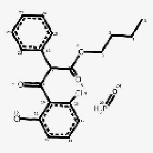 CCCCOC(=O)C(C(=O)c1c(Cl)cccc1Cl)c1ccccc1.O=[PH3]